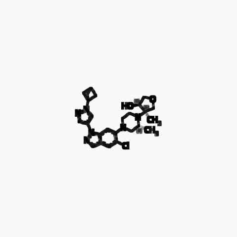 C[C@@H]1CN(c2cc3c(cnn3-c3cnn(C45CC(C4)C5)c3)cc2Cl)CCN1[C@]1(C)COC[C@@H]1O